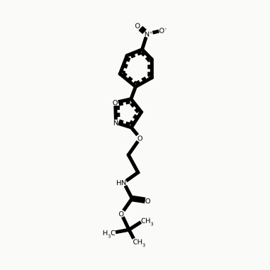 CC(C)(C)OC(=O)NCCOc1cc(-c2ccc([N+](=O)[O-])cc2)on1